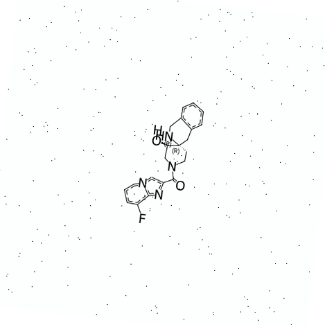 O=C(c1cn2cccc(F)c2n1)N1CC[C@]2(Cc3ccccc3CN2)[C@H](O)C1